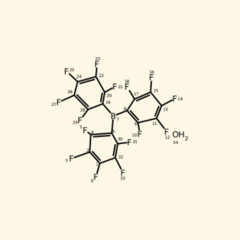 Fc1c(F)c(F)c(B(c2c(F)c(F)c(F)c(F)c2F)c2c(F)c(F)c(F)c(F)c2F)c(F)c1F.O